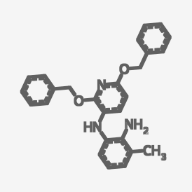 Cc1cccc(Nc2ccc(OCc3ccccc3)nc2OCc2ccccc2)c1N